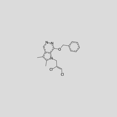 Cc1c(C)n(C/C(Cl)=C/Cl)c2c(OCc3ccccc3)nncc12